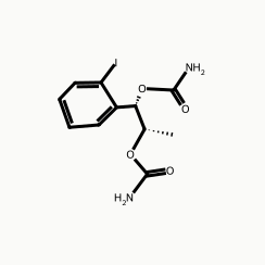 C[C@H](OC(N)=O)[C@@H](OC(N)=O)c1ccccc1I